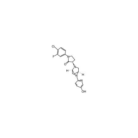 O=C1[C@H](N2C[C@@H]3C[C@H]2CN3c2ccc(O)cn2)CCN1c1ccc(Cl)c(F)c1